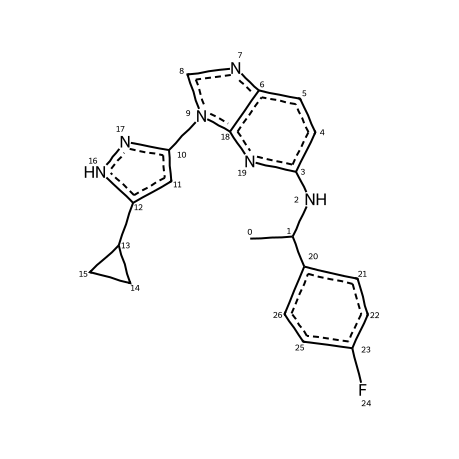 CC(Nc1ccc2ncn(-c3cc(C4CC4)[nH]n3)c2n1)c1ccc(F)cc1